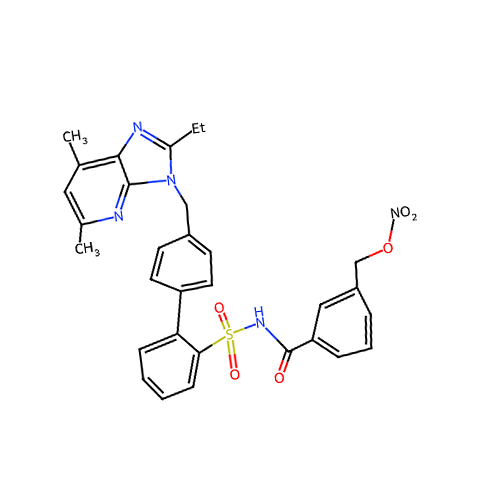 CCc1nc2c(C)cc(C)nc2n1Cc1ccc(-c2ccccc2S(=O)(=O)NC(=O)c2cccc(CO[N+](=O)[O-])c2)cc1